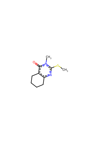 CSc1nc2c(c(=O)n1C)CCCC2